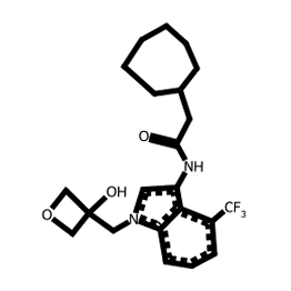 O=C(CC1CCCCCC1)Nc1cn(CC2(O)COC2)c2cccc(C(F)(F)F)c12